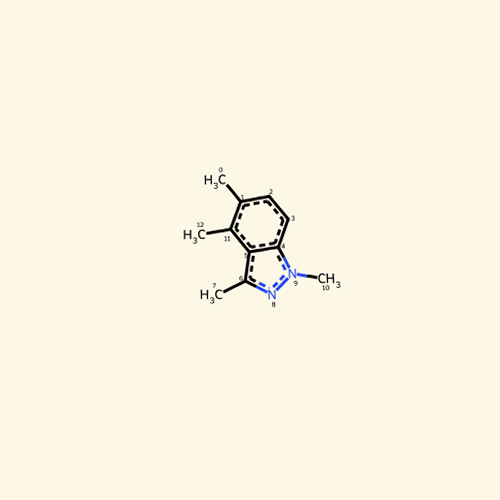 Cc1ccc2c(c(C)nn2C)c1C